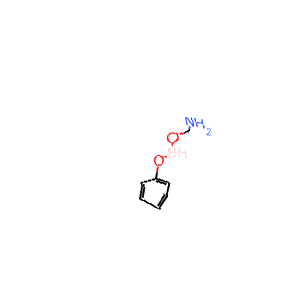 NCOBOc1ccccc1